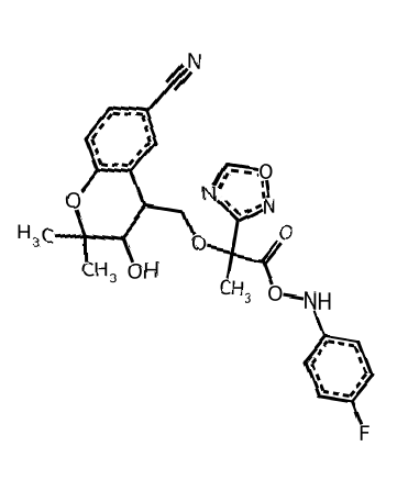 CC(OCC1c2cc(C#N)ccc2OC(C)(C)C1O)(C(=O)ONc1ccc(F)cc1)c1ncon1